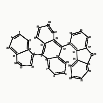 c1ccc2c(-c3c4ccccc4c(-c4cccc5oc6ccccc6c45)c4cnccc34)cccc2c1